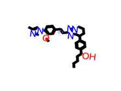 CCCCC(O)c1ccc(C2CCCn3nc(/C=C/c4ccc(-n5cnc(C)c5)c(OC)c4)nc32)cc1